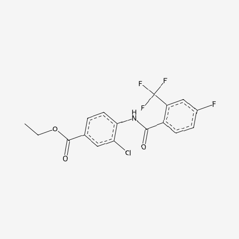 CCOC(=O)c1ccc(NC(=O)c2ccc(F)cc2C(F)(F)F)c(Cl)c1